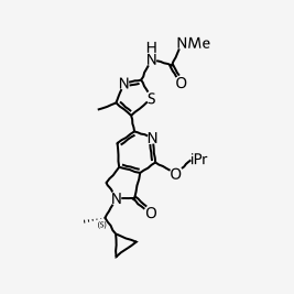 CNC(=O)Nc1nc(C)c(-c2cc3c(c(OC(C)C)n2)C(=O)N([C@@H](C)C2CC2)C3)s1